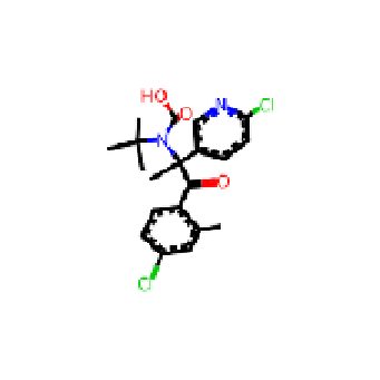 Cc1cc(Cl)ccc1C(=O)C(C)(c1ccc(Cl)nc1)N(C(=O)O)C(C)(C)C